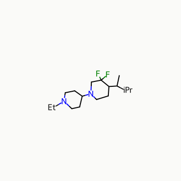 CCN1CCC(N2CCC(C(C)C(C)C)C(F)(F)C2)CC1